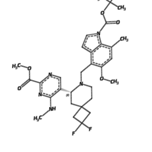 CNc1nc(C(=O)OC)ncc1[C@H]1CC2(CCN1Cc1c(OC)cc(C)c3c1ccn3C(=O)OC(C)(C)C)CC(F)(F)C2